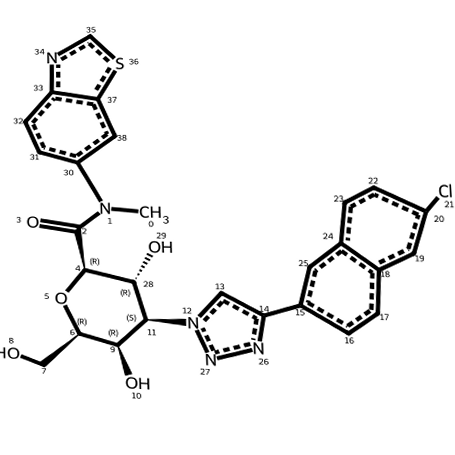 CN(C(=O)[C@@H]1O[C@H](CO)[C@H](O)[C@H](n2cc(-c3ccc4cc(Cl)ccc4c3)nn2)[C@H]1O)c1ccc2ncsc2c1